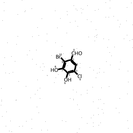 O=Cc1cc(Cl)c(O)c(O)c1Br